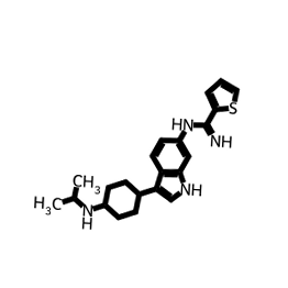 CC(C)NC1CCC(c2c[nH]c3cc(NC(=N)c4cccs4)ccc23)CC1